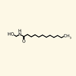 CCCCCCCCCCCC(=O)NCO